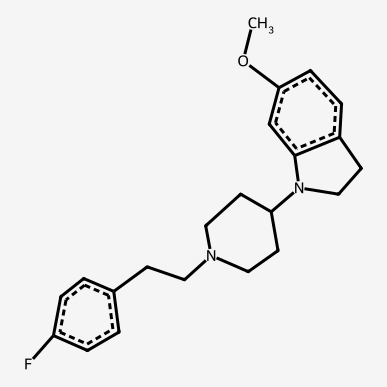 COc1ccc2c(c1)N(C1CCN(CCc3ccc(F)cc3)CC1)CC2